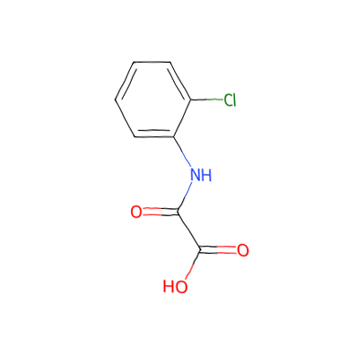 O=C(O)C(=O)Nc1ccccc1Cl